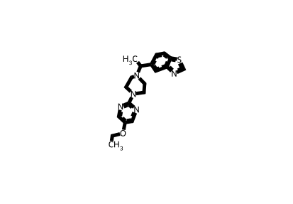 CCOc1cnc(N2CCN(C(C)c3ccc4scnc4c3)CC2)nc1